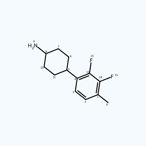 Cc1ccc(C2CCC(N)CC2)c(F)c1F